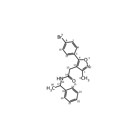 Cc1noc(-c2ccc(Br)cc2)c1CC(=O)NC(C)c1ccccc1